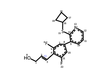 OC/C=C/c1c(F)cc(-c2cccnc2SC2CCC2)cc1F